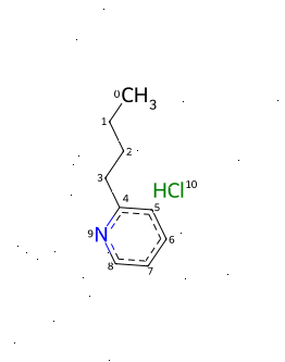 CCCCc1ccccn1.Cl